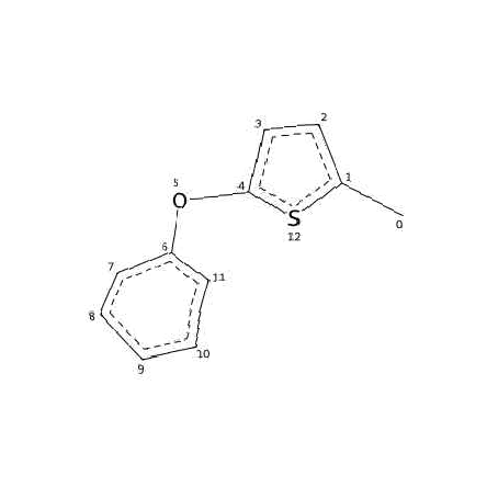 Cc1ccc(Oc2ccccc2)s1